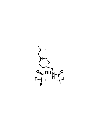 CC(C)CN1CCC(CNC(=O)C(F)(F)F)(NC(=O)C(F)(F)F)CC1